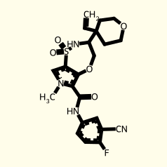 C=CC1(C2COc3c(cn(C)c3C(=O)Nc3ccc(F)c(C#N)c3)S(=O)(=O)N2)CCOCC1